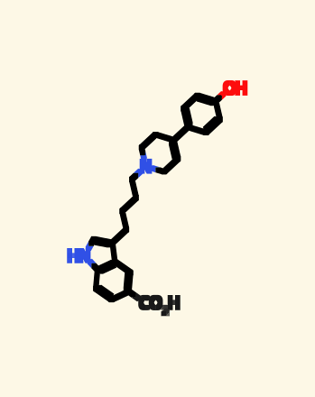 O=C(O)c1ccc2[nH]cc(CCCCN3CC=C(c4ccc(O)cc4)CC3)c2c1